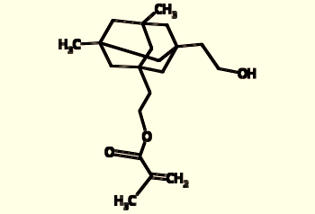 C=C(C)C(=O)OCCC12CC3(C)CC(C)(CC(CCO)(C3)C1)C2